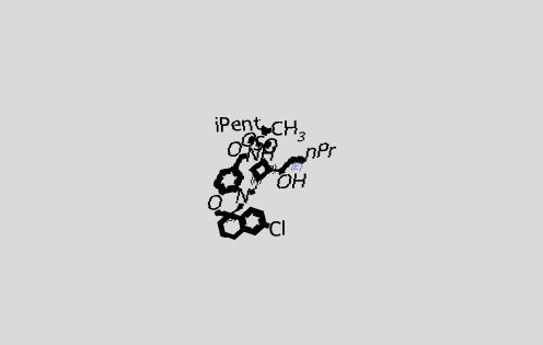 CCC/C=C/C(O)[C@@H]1CC[C@H]1CN1C[C@@]2(CCCc3cc(Cl)ccc32)COc2ccc(C(=O)NS(=O)(=O)C(C)C(C)CCC)cc21